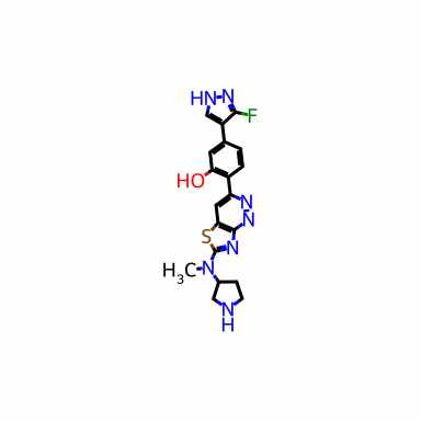 CN(c1nc2nnc(-c3ccc(-c4c[nH]nc4F)cc3O)cc2s1)C1CCNC1